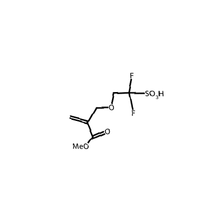 C=C(COCC(F)(F)S(=O)(=O)O)C(=O)OC